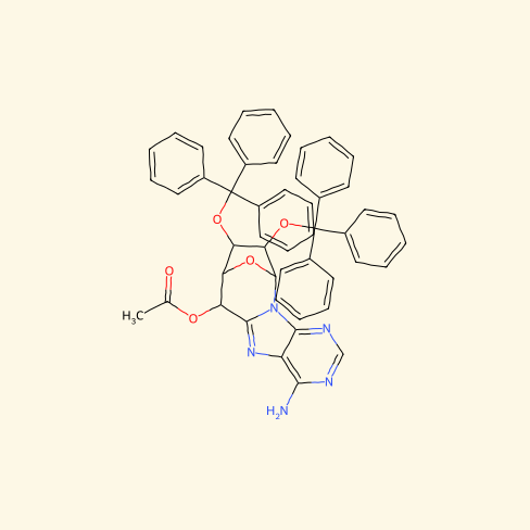 CC(=O)OC1c2nc3c(N)ncnc3n2C2OC1C(OC(c1ccccc1)(c1ccccc1)c1ccccc1)C2OC(c1ccccc1)(c1ccccc1)c1ccccc1